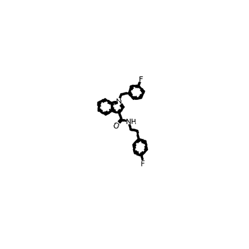 O=C(NCCc1ccc(F)cc1)c1cn(Cc2cccc(F)c2)c2ccccc12